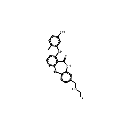 Cc1ccc(O)cc1Nc1ccnc2c1C(=O)Nc1cc(CNCC(C)C)ccc1N2